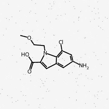 COCCn1c(C(=O)O)cc2cc(N)cc(Cl)c21